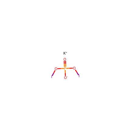 O=P([O-])(OI)OI.[K+]